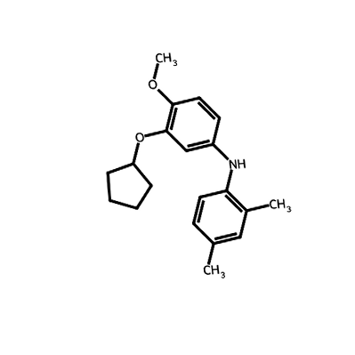 COc1ccc(Nc2ccc(C)cc2C)cc1OC1CCCC1